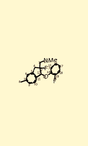 CNCC1(F)Cc2cc(C)ccc2C1Oc1ccccc1F